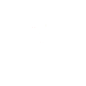 Cc1ccccc1[SH]=P(O)(O)OCC(C)C